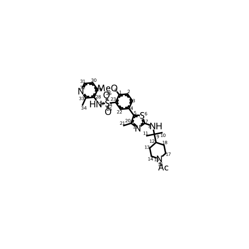 COc1ccc(-c2sc(NC(C)(C)C3CCN(C(C)=O)CC3)nc2C)cc1S(=O)(=O)Nc1cccnc1C